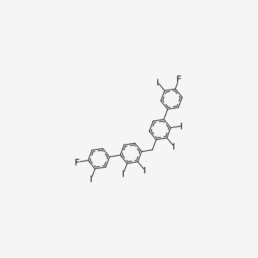 Fc1ccc(-c2ccc(Cc3ccc(-c4ccc(F)c(I)c4)c(I)c3I)c(I)c2I)cc1I